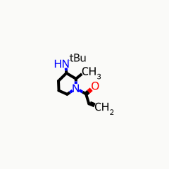 C=CC(=O)N1CCCC(NC(C)(C)C)C1C